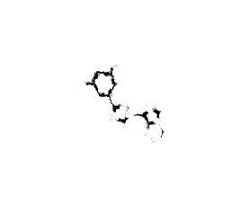 N#CCn1cnc(-n2cnc(-c3cc(C(F)(F)F)cc(C(F)(F)F)c3)n2)c1[N+](=O)[O-]